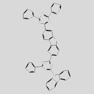 c1ccc(-c2nc(-c3ccccc3)nc(-c3ccc4c(c3)sc3ccc(-c5nc(-c6ccccc6)nc(-n6c7ccccc7c7ccccc76)n5)cc34)n2)cc1